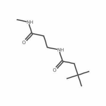 CNC(=O)CCNC(=O)CC(C)(C)C